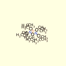 CC(C)(C)c1ccc(N2c3cc(C(C)(C)C)ccc3B3c4ccc(C(C)(C)C)cc4N(c4ccc(C(C)(C)C)cc4)c4cc(C(C)(C)C)cc2c43)cc1